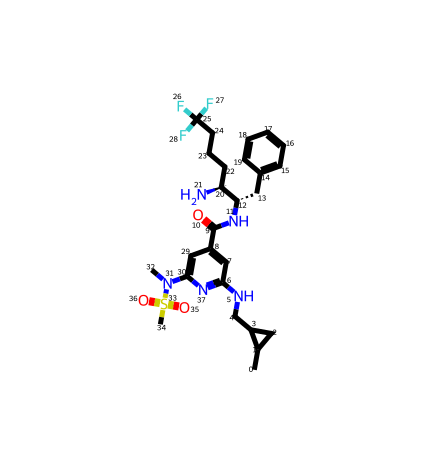 CC1CC1CNc1cc(C(=O)N[C@@H](Cc2ccccc2)[C@@H](N)CCCC(F)(F)F)cc(N(C)S(C)(=O)=O)n1